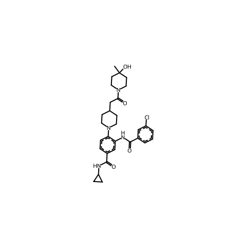 CC1(O)CCN(C(=O)CC2CCN(c3ccc(C(=O)NC4CC4)cc3NC(=O)c3cccc(Cl)c3)CC2)CC1